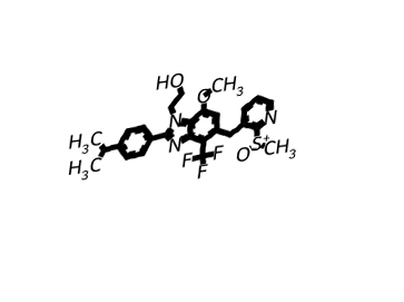 COc1cc(Cc2cccnc2[S+](C)[O-])c(C(F)(F)F)c2nc(-c3ccc(C(C)C)cc3)n(CCO)c12